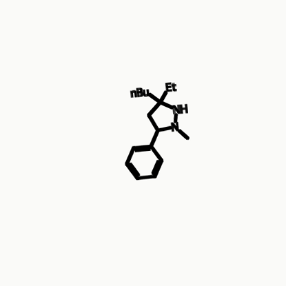 CCCCC1(CC)CC(c2ccccc2)N(C)N1